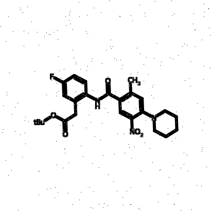 Cc1cc(N2CCCCC2)c([N+](=O)[O-])cc1C(=O)Nc1ccc(F)cc1CC(=O)OC(C)(C)C